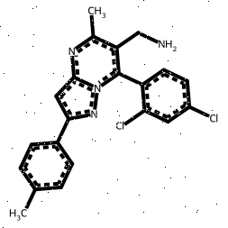 Cc1ccc(-c2cc3nc(C)c(CN)c(-c4ccc(Cl)cc4Cl)n3n2)cc1